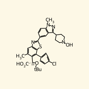 Cc1cc2nc(-c3ccc4c(c3)c(C3CCN(O)CC3)nn4C)sc2c(-c2ccc(Cl)cc2)c1[C@H](OC(C)(C)C)C(=O)O